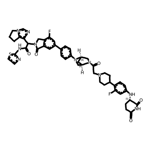 O=C1CC[C@H](Nc2ccc(C3CCN(CC(=O)N4C[C@H]5C[C@@H]4CN5c4ccc(-c5cc(F)c6c(c5)C(=O)N(C(C(=O)Nc5nccs5)c5ncn7c5CCC7)C6)cc4)CC3)c(F)c2)C(=O)N1